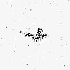 CCOC(=O)C1CCN(CCCC(=O)NC(C=O)[C@@H](C)CN[C@@H](CCCNC(N)=O)C(=O)Nc2ccc(CN)cc2)CC1